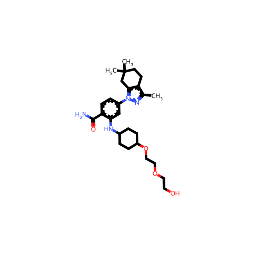 Cc1nn(-c2ccc(C(N)=O)c(NC3CCC(OCCOCCO)CC3)c2)c2c1CCC(C)(C)C2